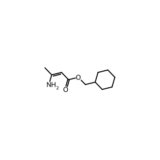 C/C(N)=C/C(=O)OCC1CCCCC1